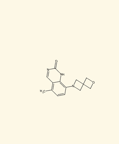 Cc1ccc(N2CC3(COC3)C2)c2[nH]c(=O)ncc12